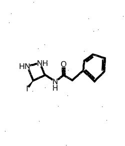 O=C(Cc1ccccc1)NC1NN[C@@H]1I